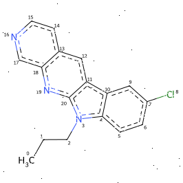 CCCn1c2ccc(Cl)cc2c2cc3ccncc3nc21